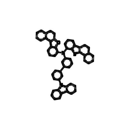 c1cc(-c2cccc(-n3c4ccccc4c4ccccc43)c2)cc(N(c2cccc3c2oc2ccc4ccccc4c23)c2cccc3c2sc2c4ccccc4ccc32)c1